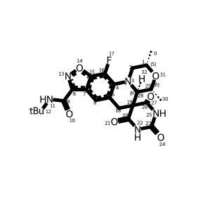 C[C@H]1CN2c3c(cc4c(C(=O)NC(C)(C)C)noc4c3F)CC3(C(=O)NC(=O)NC3=O)[C@@H]2[C@@H](C)O1